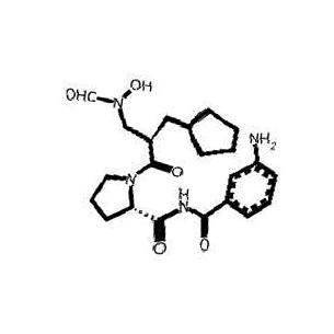 Nc1cccc(C(=O)NC(=O)[C@@H]2CCCN2C(=O)[C@H](CC2CCCC2)CN(O)C=O)c1